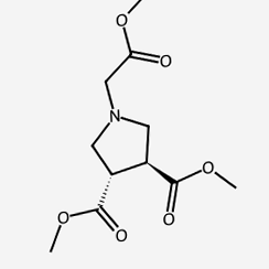 COC(=O)CN1C[C@@H](C(=O)OC)[C@H](C(=O)OC)C1